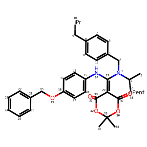 CCCCCC(C)N(Cc1ccc(CC(C)C)cc1)C(Nc1ccc(OCc2ccccc2)cc1)=C1C(=O)OC(C)(C)OC1=O